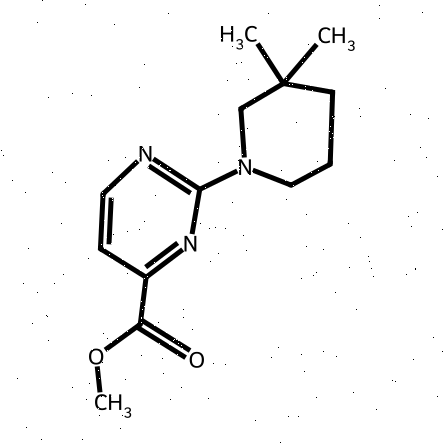 COC(=O)c1ccnc(N2CCCC(C)(C)C2)n1